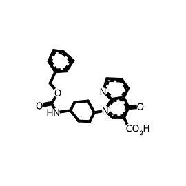 O=C(NC1CCC(n2cc(C(=O)O)c(=O)c3cccnc32)CC1)OCc1ccccc1